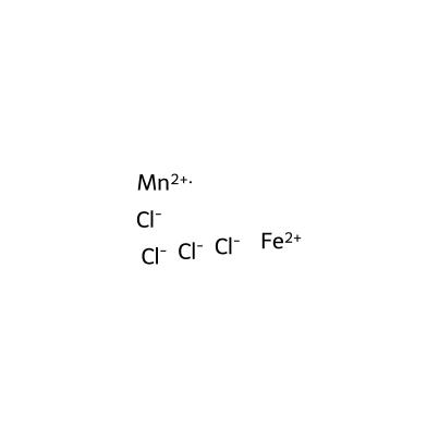 [Cl-].[Cl-].[Cl-].[Cl-].[Fe+2].[Mn+2]